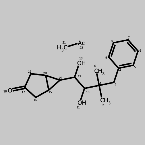 CC(C)(Cc1ccccc1)C(O)C(O)C1C2CC(=O)CC21.CC(C)=O